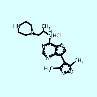 Cc1noc(C)c1-c1csc2c(N[C@@H](C)CN3CCNCC3)ncnc12.Cl